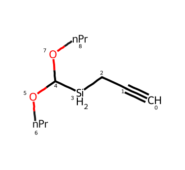 C#CC[SiH2]C(OCCC)OCCC